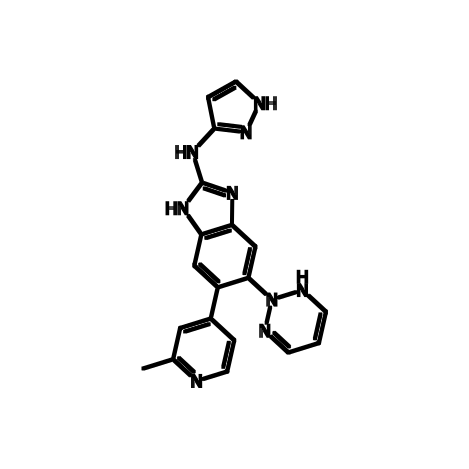 Cc1cc(-c2cc3[nH]c(Nc4cc[nH]n4)nc3cc2N2N=CC=CN2)ccn1